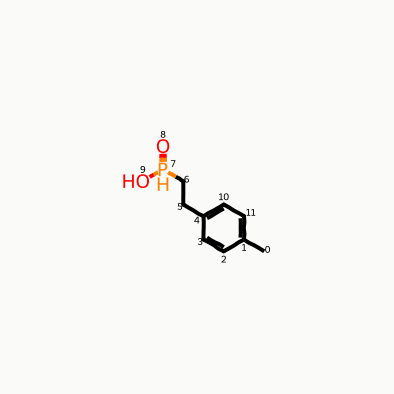 Cc1ccc(CC[PH](=O)O)cc1